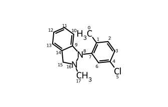 Cc1ccc(Cl)cc1N1c2ccccc2CN1C